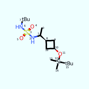 CC(NS(=O)(=O)NC(C)(C)C)[C@H]1C[C@@H](O[Si](C)(C)C(C)(C)C)C1